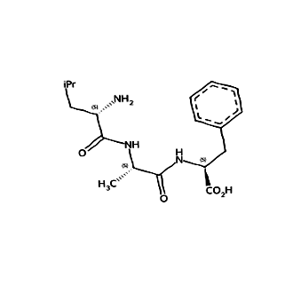 CC(C)C[C@H](N)C(=O)N[C@@H](C)C(=O)N[C@@H](Cc1ccccc1)C(=O)O